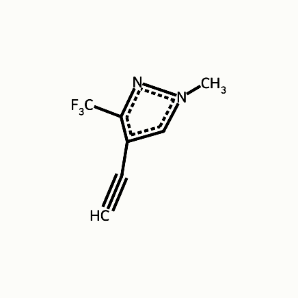 C#Cc1cn(C)nc1C(F)(F)F